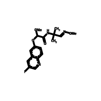 CO/N=C/C(C)(C)NC(=O)C(OC)Oc1ccc2ncc(I)cc2c1